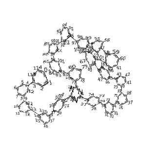 c1ccc(-c2cccc(-c3cccc(-c4cccc(-c5ccc(-c6nc(-c7ccc(-c8cccc(-c9cccc(-c%10cccc(-c%11ccc%12c(c%11)C%11(c%13ccccc%13-c%13ccccc%13%11)c%11ccccc%11-%12)c%10)c9)c8)cc7)nc(-c7cccc(-c8cccc(-c9cccc(-c%10cccc(-c%11ccccc%11)c%10)c9)c8)c7)n6)cc5)c4)c3)c2)cc1